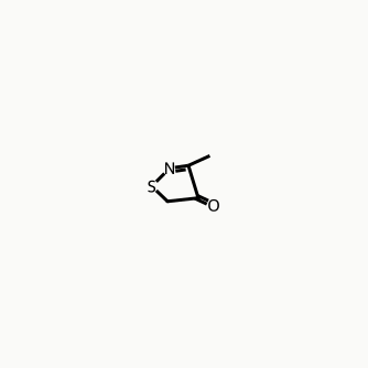 CC1=NSCC1=O